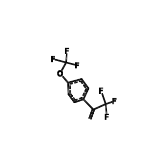 C=C(c1ccc(OC(F)(F)F)cc1)C(F)(F)F